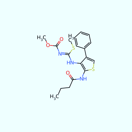 CCCC(=O)Nc1scc(-c2ccccc2)c1NC(=NC(=O)OC)SC